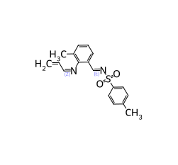 C=C/C=N\c1c(C)cccc1/C=N/S(=O)(=O)c1ccc(C)cc1